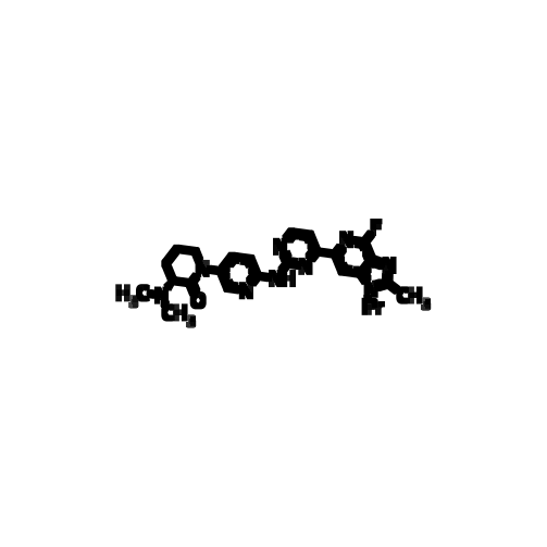 Cc1nc2c(F)nc(-c3ccnc(Nc4ccc(N5CCC[C@H](N(C)C)C5=O)cn4)n3)cc2n1C(C)C